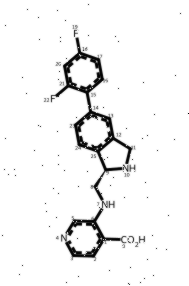 O=C(O)c1ccncc1NC[C@@H]1NCc2cc(-c3ccc(F)cc3F)ccc21